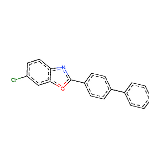 Clc1ccc2nc(-c3ccc(-c4ccccc4)cc3)oc2c1